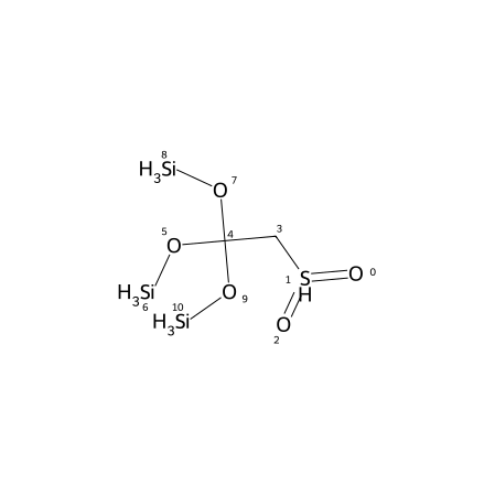 O=[SH](=O)CC(O[SiH3])(O[SiH3])O[SiH3]